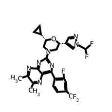 Cc1nc2nc(N3C[C@@H](c4cnn(C(F)F)c4)O[C@@H](C4CC4)C3)nc(-c3ccc(C(F)(F)F)cc3F)c2nc1C